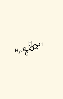 COC(=O)c1cc2sc(Cl)cc2[nH]1